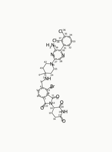 CC1(NCc2ccc3c(c2Br)C(=O)N(C2CCC(=O)NC2=O)C3=O)CCN(c2cnc(-c3cccc(Cl)c3Cl)c(N)n2)CC1